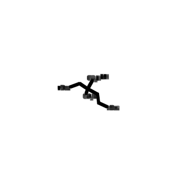 CCCCCCCCCCCCC(CCCCCCCCCCC)(C(=O)O)C(=O)O.[LiH]